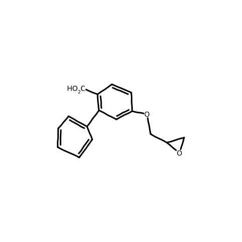 O=C(O)c1ccc(OCC2CO2)cc1-c1ccccc1